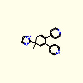 CCC1(c2ncc[nH]2)C=C(c2ccncc2)C(c2ccncc2)=CC1